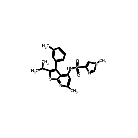 Cc1cccc(-c2c(C(C)C)sc3nc(C)cc(NS(=O)(=O)c4cn(C)cn4)c23)c1